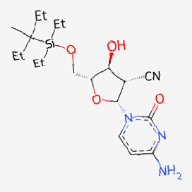 CCC(C)(CC)[Si](CC)(CC)OC[C@H]1O[C@@H](n2ccc(N)nc2=O)[C@@H](C#N)[C@@H]1O